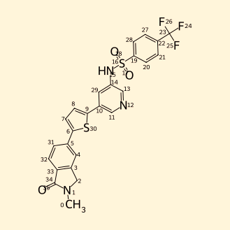 CN1Cc2cc(-c3ccc(-c4cncc(NS(=O)(=O)c5ccc(C(F)(F)F)cc5)c4)s3)ccc2C1=O